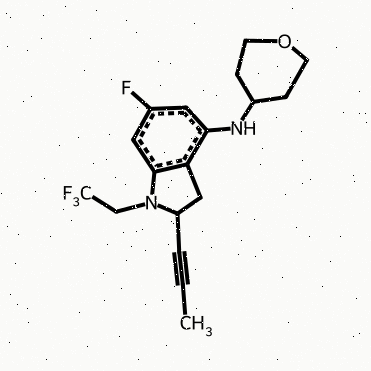 CC#CC1Cc2c(NC3CCOCC3)cc(F)cc2N1CC(F)(F)F